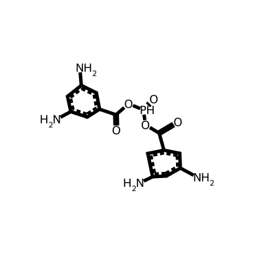 Nc1cc(N)cc(C(=O)O[PH](=O)OC(=O)c2cc(N)cc(N)c2)c1